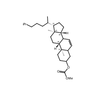 COC(=O)OC1CC[C@]2(C)C(C=CC3[C@H]4CC[C@@H](C(C)CCCC(C)C)[C@]4(C)CC[C@H]32)C1